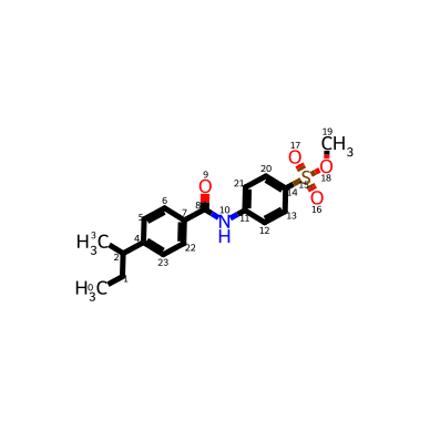 CCC(C)c1ccc(C(=O)Nc2ccc(S(=O)(=O)OC)cc2)cc1